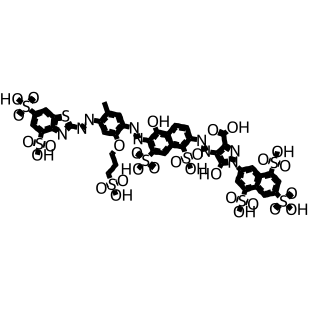 Cc1cc(N=Nc2c(S(=O)(=O)O)cc3c(S(=O)(=O)O)c(N=Nc4c(C(=O)O)nn(-c5cc(S(=O)(=O)O)c6cc(S(=O)(=O)O)cc(S(=O)(=O)O)c6c5)c4O)ccc3c2O)c(OCCCS(=O)(=O)O)cc1N=Nc1nc2c(S(=O)(=O)O)cc(S(=O)(=O)O)cc2s1